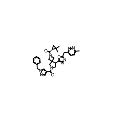 Cc1ccc(Cc2nnc(C3CN(C(=O)c4cnn(Cc5ccccc5)c4)CC34CN(C(=O)[C@H]3CC3(C)C)C4)o2)nn1